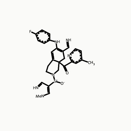 CN/C=C(\C=N)[S+]([O-])N1CCC2=CC(Nc3ccc(F)cc3)=C(C=N)CC2(C(=O)c2cc(C)ccn2)C1